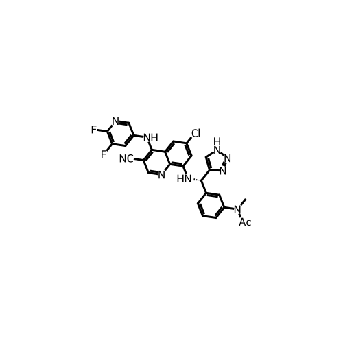 CC(=O)N(C)c1cccc([C@H](Nc2cc(Cl)cc3c(Nc4cnc(F)c(F)c4)c(C#N)cnc23)c2c[nH]nn2)c1